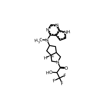 CN(c1ncnc2[nH]ccc12)C1CC2CN(C(=O)C(O)C(F)(F)F)C[C@@H]2C1